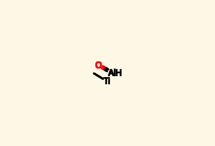 [CH3][Ti].[O]=[AlH]